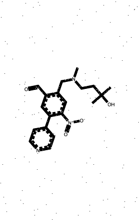 CN(CCC(C)(C)O)Cc1cc([N+](=O)[O-])c(-c2ccncc2)cc1C=O